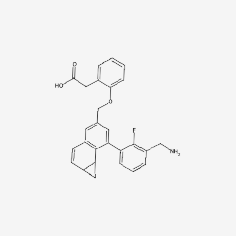 NCc1cccc(-c2cc(COc3ccccc3CC(=O)O)cc3c2C2CC2C=C3)c1F